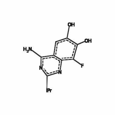 CC(C)c1nc(N)c2cc(O)c(O)c(F)c2n1